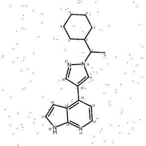 CC(C1CCCCC1)n1cc(-c2ccnc3[nH]ccc23)cn1